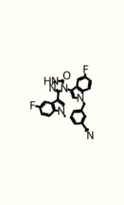 Cn1cc(-c2n[nH]c(=O)n2-c2cn(Cc3cccc(C#N)c3)c3ccc(F)cc23)c2cc(F)ccc21